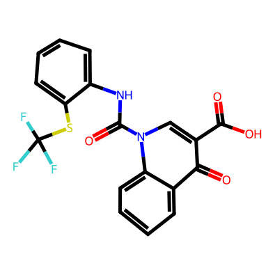 O=C(O)c1cn(C(=O)Nc2ccccc2SC(F)(F)F)c2ccccc2c1=O